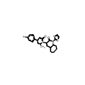 Cc1cc(-c2ccc(F)cc2)cc(=O)n1C(CC1CCCCC1)C(=O)Nc1nccs1